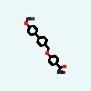 CCCCCCCCOc1ccc(-c2ccc(COc3ccc(C(=O)OC)cc3)cc2)cc1